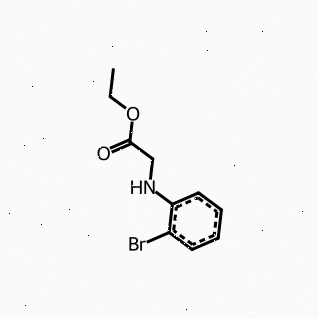 CCOC(=O)CNc1ccccc1Br